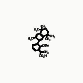 C=C(C(=O)O)c1cccc(-c2cc3c(cc2C)C(C)(C)CCC3(C)C)c1OC